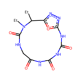 CCC1c2nnc(o2)NC(=O)NC(=O)NC(=O)CNC(=O)N1CC